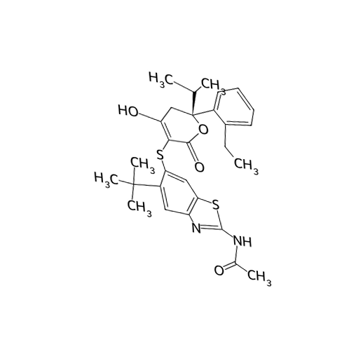 CCc1ccccc1[C@@]1(C(C)C)CC(O)=C(Sc2cc3sc(NC(C)=O)nc3cc2C(C)(C)C)C(=O)O1